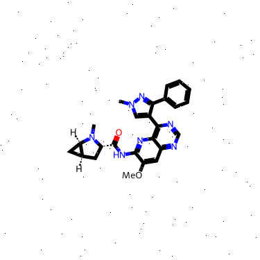 COc1cc2ncnc(-c3cn(C)nc3-c3ccccc3)c2nc1NC(=O)[C@@H]1C[C@H]2C[C@H]2N1C